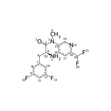 CN(C(=O)[C@@H](N)Cc1cc(F)cc(F)c1)c1ccc(C(F)F)nc1